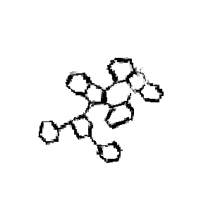 CN1C=CC=CC1N1c2ccccc2-c2c(n(-c3cc(C4=CC=CCC4)cc(-c4ccccc4)c3)c3ccccc23)-c2ccccc21